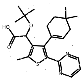 Cc1sc(-c2ncccn2)c(C2=CCC(C)(C)CC2)c1C(OC(C)(C)C)C(=O)O